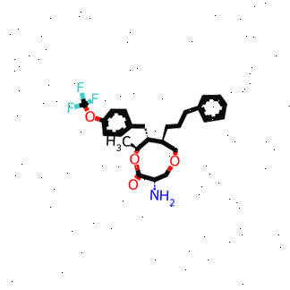 C[C@@H]1OC(=O)[C@@H](N)COC[C@H](CCCc2ccccc2)[C@H]1Cc1ccc(OC(F)(F)F)cc1